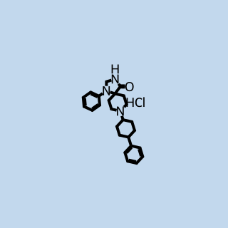 Cl.O=C1NCN(c2ccccc2)C12CCN(C1CCC(c3ccccc3)CC1)CC2